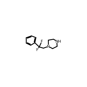 FC(F)(CN1CCNCC1)c1ccccc1